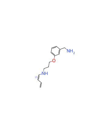 C=C/C=C\NCCCOc1cccc(CN)c1